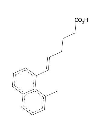 Cc1cccc2cccc(C=CCCCC(=O)O)c12